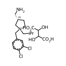 CC(C)C[N+]1(Cc2ccc(Cl)c(Cl)c2)CC[C@@H](CN)C1.O=C(O)C(O)C(O)C(=O)O